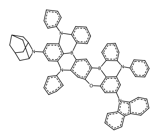 c1ccc(N2c3ccccc3B3c4cc5c(cc4Oc4cc(-n6c7ccccc7c7ccccc76)cc2c43)N(c2ccccc2)c2cc(N3C4CC6CC(C4)CC3C6)cc3c2B5c2ccccc2N3c2ccccc2)cc1